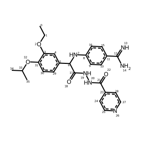 CCOc1cc(C(Nc2ccc(C(=N)N)cc2)C(=O)NNC(=O)c2ccncc2)ccc1OC(C)C